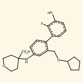 CCCc1cccc(-c2ccc(NC3(C(=O)O)CCOCC3)cc2COC2CCCC2)c1F